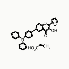 C=CC(=O)O.O=c1c(O)c(-c2ccco2)oc2ccc(-c3ccc(N(c4ccccc4)c4ccccc4)cc3)cc12